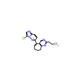 FC(F)(F)CCc1ncc2c(n1)CCCC=C2c1ccc2ncc(Cl)n2n1